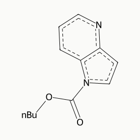 CCCCOC(=O)n1ccc2ncccc21